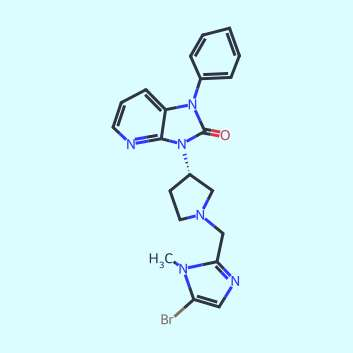 Cn1c(Br)cnc1CN1CC[C@H](n2c(=O)n(-c3ccccc3)c3cccnc32)C1